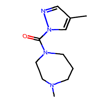 Cc1cnn(C(=O)N2CCCN(C)CC2)c1